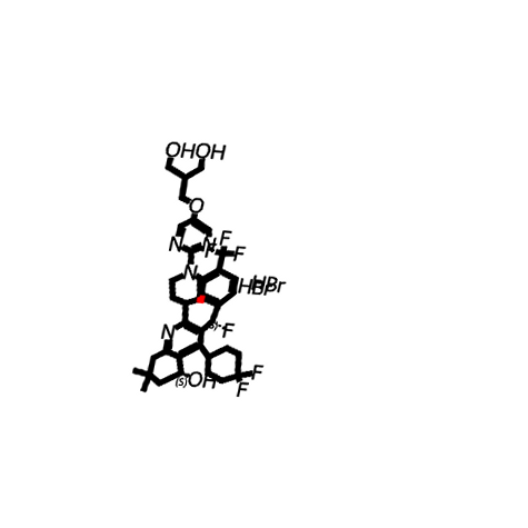 Br.Br.CC1(C)Cc2nc(C3CCN(c4ncc(OCC(CO)CO)cn4)CC3)c([C@@H](F)c3ccc(C(F)(F)F)cc3)c(C3CCC(F)(F)CC3)c2[C@@H](O)C1